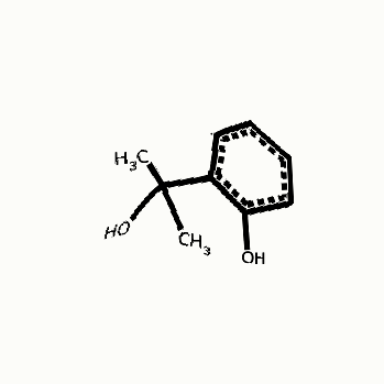 CC(C)(O)c1[c]cccc1O